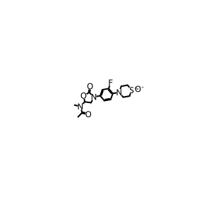 CC(=O)N(C)C1CN(c2ccc(N3CC[S+]([O-])CC3)c(F)c2)C(=O)O1